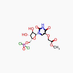 COC(=O)COc1cn([C@@H]2O[C@H](COP(=O)(Cl)Cl)[C@H](O)C2O)c(=O)[nH]c1=O